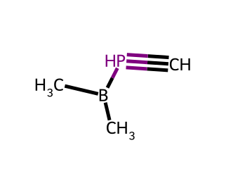 C#[PH]B(C)C